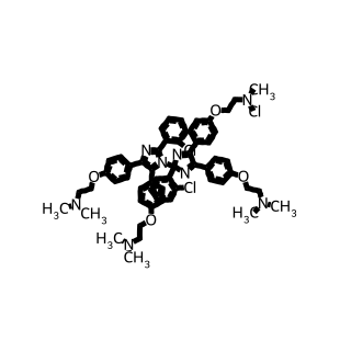 CN(C)CCOc1ccc(C2=NC(c3ccccc3Cl)(n3c(-c4ccccc4Cl)nc(-c4ccc(OCCN(C)C)cc4)c3-c3ccc(OCCN(C)C)cc3)N=C2c2ccc(OCCN(C)Cl)cc2)cc1